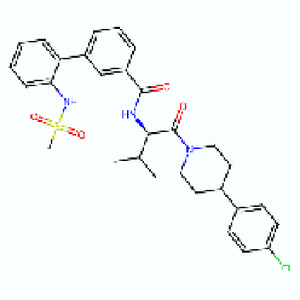 CC(C)[C@@H](NC(=O)c1cccc(-c2ccccc2NS(C)(=O)=O)c1)C(=O)N1CCC(c2ccc(Cl)cc2)CC1